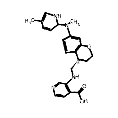 CC1=CNC(N(C)c2ccc3c(c2)OCC[C@H]3CNc2cnccc2C(=O)O)C=C1